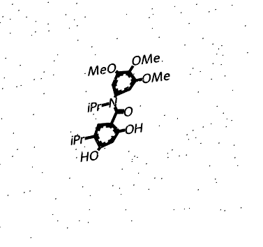 COc1cc(N(C(=O)c2cc(C(C)C)c(O)cc2O)C(C)C)cc(OC)c1OC